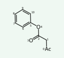 CC(=O)CC(=O)Oc1ccccc1